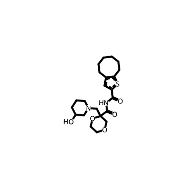 O=C(NC(=O)C1(CN2CCCC(O)C2)COCCO1)c1cc2c(s1)CCCCCC2